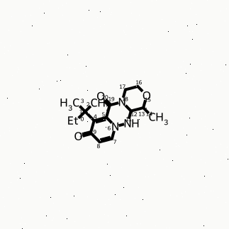 CCC(C)(C)c1c2n(ccc1=O)NC1C(C)OCCN1C2=O